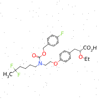 CCOC(Cc1ccc(OCCN(CCCCC(C)(F)F)C(=O)OCc2ccc(F)cc2)cc1)C(=O)O